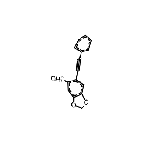 O=Cc1cc2c(cc1C#Cc1ccccc1)OCO2